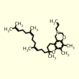 C=CCN1COc2c(C)c(C)c3c(c2C1)CCC(C)(CCC=C(C)CCC=C(C)CCC=C(C)C)O3